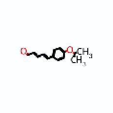 CC(C)Oc1ccc(/C=C/C=C/C=O)cc1